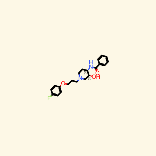 O=C(N[C@@H]1CCN(CCCOc2ccc(F)cc2)C[C@@H]1O)c1ccccc1